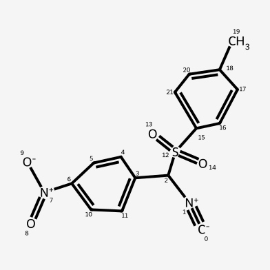 [C-]#[N+]C(c1ccc([N+](=O)[O-])cc1)S(=O)(=O)c1ccc(C)cc1